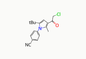 Cc1c(C(=O)CCl)cc(C(C)(C)C)n1-c1ccc(C#N)cc1